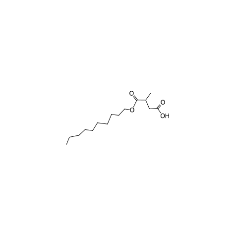 CCCCCCCCCCOC(=O)C(C)CC(=O)O